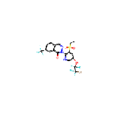 CCS(=O)(=O)c1cc(OC(F)(F)C(F)(F)Br)cnc1-n1ncc2ccc(C(F)(F)F)cc2c1=O